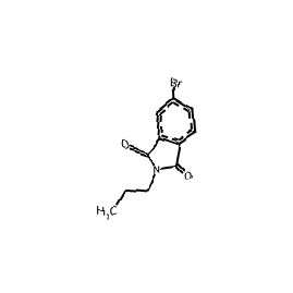 CCCN1C(=O)c2ccc(Br)cc2C1=O